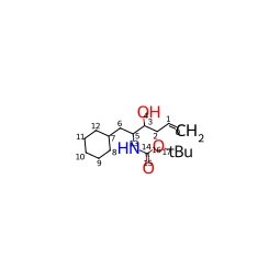 C=CCC(O)C(CC1CCCCC1)NC(=O)OC(C)(C)C